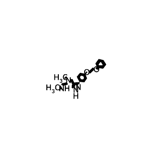 CNCCN(C)Cc1c[nH]nc1[C@H]1CC[C@H](OCCOc2ccccc2)CC1